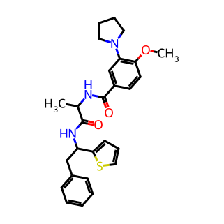 COc1ccc(C(=O)NC(C)C(=O)NC(Cc2ccccc2)c2cccs2)cc1N1CCCC1